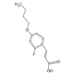 CCCCOc1ccc(/C=C/C(=O)O)c(F)c1